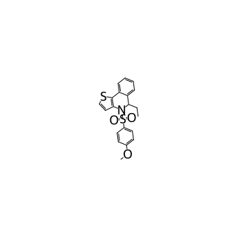 CCC1c2ccccc2-c2sccc2N1S(=O)(=O)c1ccc(OC)cc1